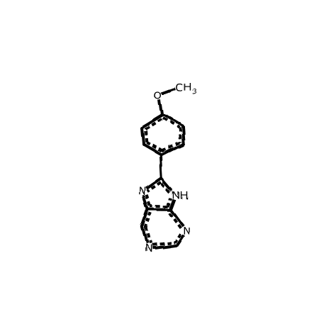 COc1ccc(-c2nc3cncnc3[nH]2)cc1